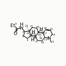 CCC(=O)NC1CC[C@H]2[C@@H]3CCC4N(C)CC=C[C@]4(C)[C@@H]3CC[C@]12C